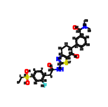 CCS(=O)(=O)c1ccc(CC(=O)Nc2nc3c(s2)C(=O)C(c2cccc(C(=O)N(C)C)c2)CC3)c(F)c1